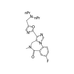 CCCN(CCC)Cc1cnc(-c2ncn3c2CN(C)C(=O)c2cc(F)ccc2-3)o1